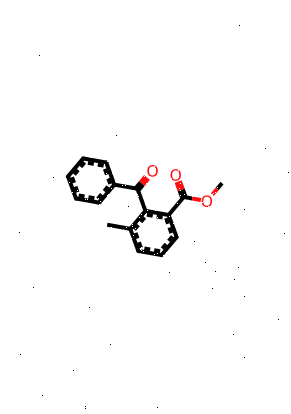 COC(=O)c1cccc(C)c1C(=O)c1ccccc1